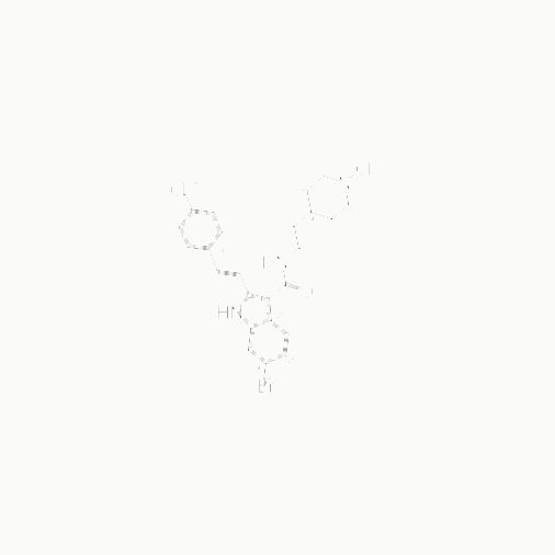 CN1CCC(CCNC(=O)c2c(/C=C/c3ccc(Cl)cc3)[nH]c3cc(Br)ccc23)CC1